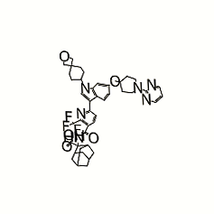 O=C(NC1(C(=O)O)C2CC3CC(C2)CC1C3)c1ccc(-c2cn(C3CCC4(CC3)COC4)c3cc(OC4CCN(c5ncccn5)CC4)ccc23)nc1C(F)(F)F